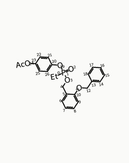 CCP(=O)(OCc1ccccc1OCc1ccccc1)Oc1ccc(OC(C)=O)cc1